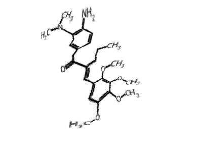 CCC/C(=C\c1cc(OC)c(OC)c(OC)c1OC)C(=O)c1ccc(N)c(N(C)C)c1